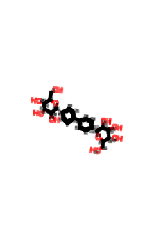 OCC1O[C@H](c2ccc(-c3ccc([C@H]4OC(CO)[C@@H](O)C(O)C4O)cc3)cc2)C(O)C(O)[C@@H]1O